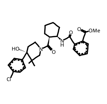 COC(=O)c1ccccc1C(=O)N[C@@H]1CCCC[C@@H]1C(=O)N1CC[C@](O)(c2ccc(Cl)cc2)C(C)(C)C1